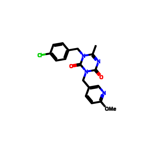 COc1ccc(Cn2c(=O)nc(C)n(Cc3ccc(Cl)cc3)c2=O)cn1